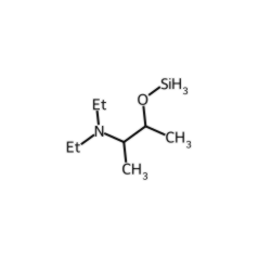 CCN(CC)C(C)C(C)O[SiH3]